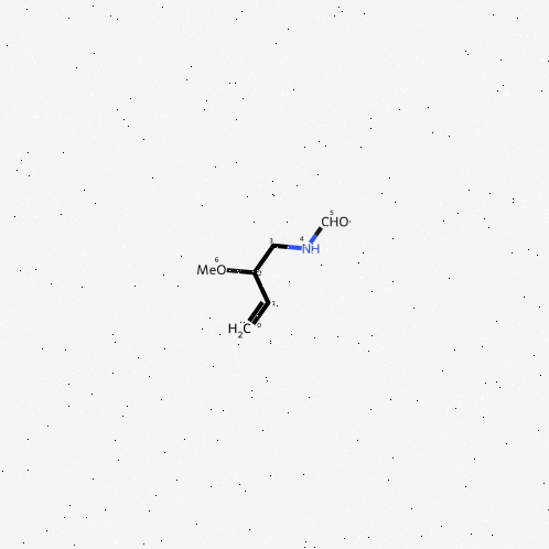 C=CC(CN[C]=O)OC